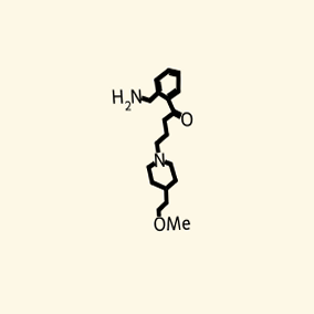 COCCC1CCN(CCCC(=O)c2ccccc2CN)CC1